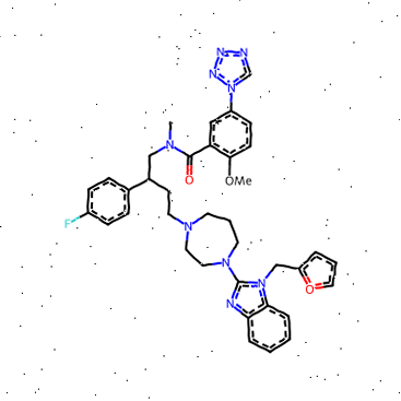 COc1ccc(-n2cnnn2)cc1C(=O)N(C)CC(CCN1CCCN(c2nc3ccccc3n2Cc2ccco2)CC1)c1ccc(F)cc1